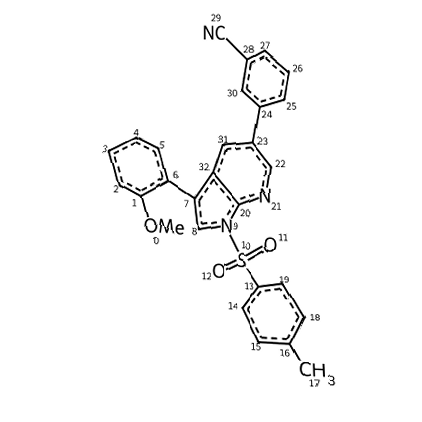 COc1ccccc1-c1cn(S(=O)(=O)c2ccc(C)cc2)c2ncc(-c3cccc(C#N)c3)cc12